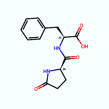 O=C1CC[C@H](C(=O)N[C@@H](Cc2ccccc2)C(=O)O)N1